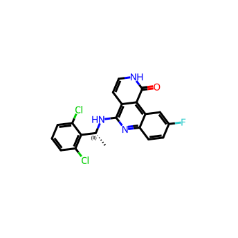 C[C@@H](Nc1nc2ccc(F)cc2c2c(=O)[nH]ccc12)c1c(Cl)cccc1Cl